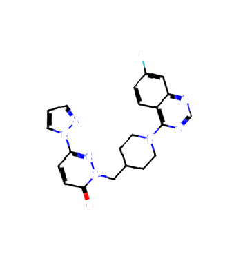 O=c1ccc(-n2cccn2)nn1CC1CCN(c2ncnc3cc(F)ccc23)CC1